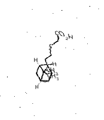 CC1(C)[C@H]2CC[C@@H](CCSCC(=O)O)[C@@H]1C2